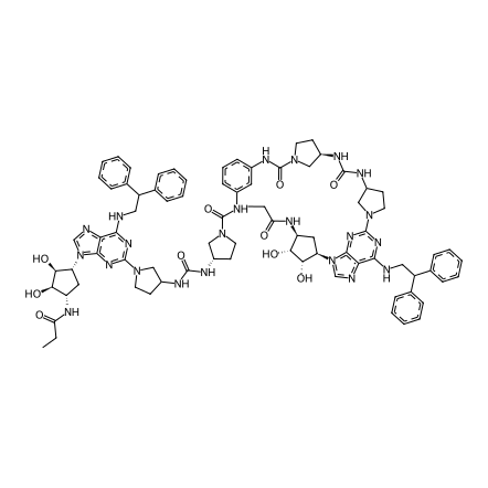 CCC(=O)N[C@H]1C[C@@H](n2cnc3c(NCC(c4ccccc4)c4ccccc4)nc(N4CCC(NC(=O)N[C@@H]5CCN(C(=O)Nc6cccc(NC(=O)N7CC[C@H](NC(=O)NC8CCN(c9nc(NCC(c%10ccccc%10)c%10ccccc%10)c%10ncn([C@@H]%11C[C@H](NC(=O)CC)[C@@H](O)[C@H]%11O)c%10n9)C8)C7)c6)C5)C4)nc32)[C@H](O)[C@@H]1O